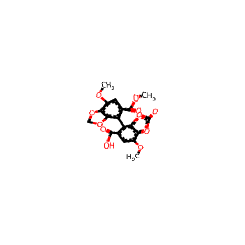 COC(=O)c1cc(OC)c2c(c1-c1c(C(=O)O)cc(OC)c3oc(=O)oc13)OCO2